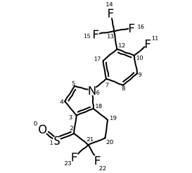 O=S=C1c2ccn(-c3ccc(F)c(C(F)(F)F)c3)c2CCC1(F)F